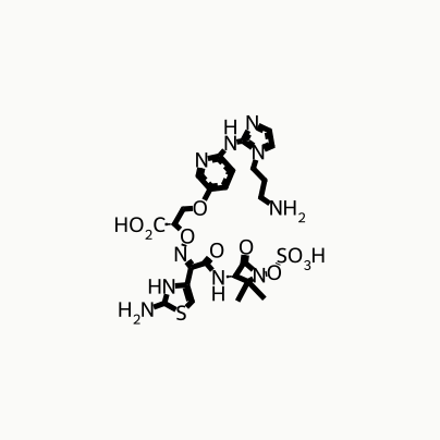 CC1(C)[C@H](NC(=O)/C(=N\O[C@@H](COc2ccc(Nc3nccn3CCCN)nc2)C(=O)O)C2=CSC(N)N2)C(=O)N1OS(=O)(=O)O